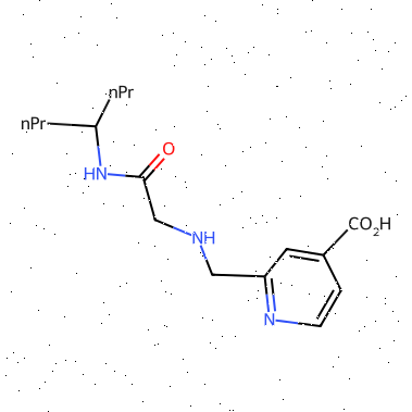 CCCC(CCC)NC(=O)CNCc1cc(C(=O)O)ccn1